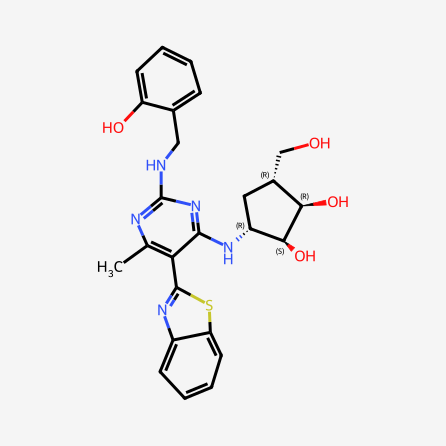 Cc1nc(NCc2ccccc2O)nc(N[C@@H]2C[C@H](CO)[C@@H](O)[C@H]2O)c1-c1nc2ccccc2s1